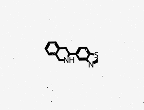 c1ccc2c(c1)CNC(c1ccc3scnc3c1)C2